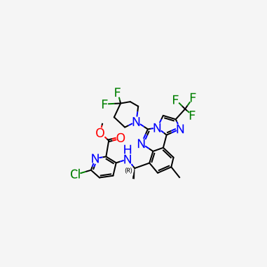 COC(=O)c1nc(Cl)ccc1N[C@H](C)c1cc(C)cc2c1nc(N1CCC(F)(F)CC1)n1cc(C(F)(F)F)nc21